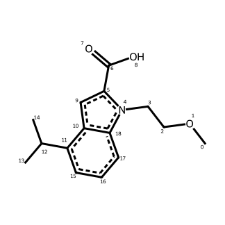 COCCn1c(C(=O)O)cc2c(C(C)C)cccc21